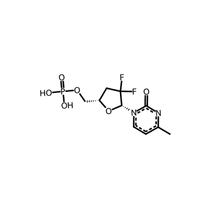 Cc1ccn([C@@H]2O[C@H](COP(=O)(O)O)CC2(F)F)c(=O)n1